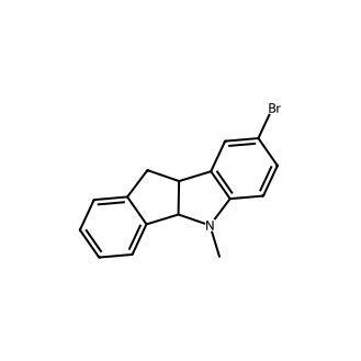 CN1c2ccc(Br)cc2C2Cc3ccccc3C21